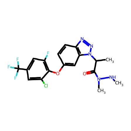 CNN(C)C(=O)C(C)n1nnc2ccc(Oc3c(F)cc(C(F)(F)F)cc3Cl)cc21